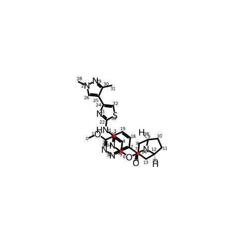 COc1ccc(O[C@H]2C[C@H]3CC[C@@H](C2)N3C(=O)c2ccc(Nc3nc(-c4cn(C)nc4C)cs3)nc2)nn1